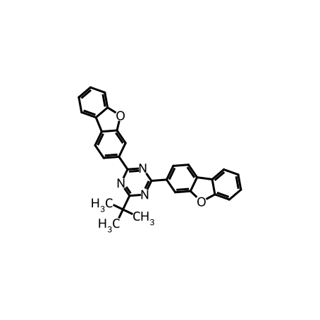 CC(C)(C)c1nc(-c2ccc3c(c2)oc2ccccc23)nc(-c2ccc3c(c2)oc2ccccc23)n1